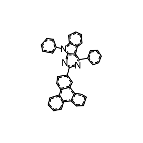 c1ccc(-c2nc(-c3ccc4c5ccccc5c5ccccc5c4c3)nc3c2c2ccccc2n3-c2ccccc2)cc1